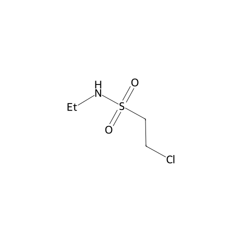 CCNS(=O)(=O)CCCl